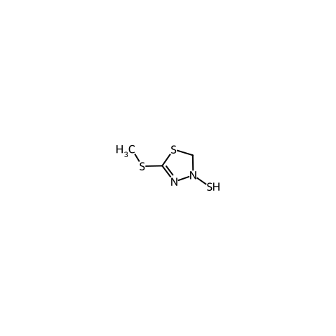 CSC1=NN(S)CS1